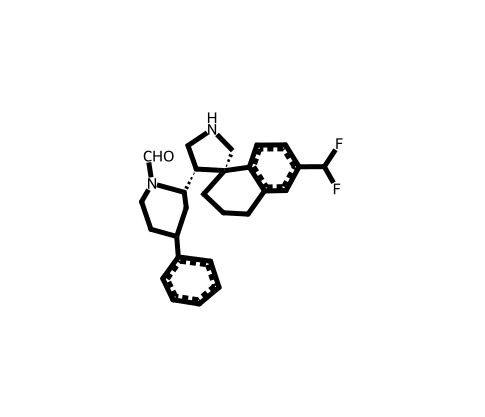 O=CN1CCC(c2ccccc2)CC1[C@@H]1CNC[C@]12CCCc1cc(C(F)F)ccc12